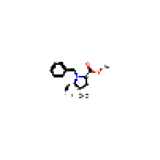 C=C[C@H]1[C@@H](C=O)C[C@H](C(=O)OC(C)(C)C)N1Cc1ccccc1